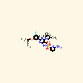 CC(C)COc1cc(F)cc(-c2ncc(C(=O)NS(=O)(=O)c3cccc(N)n3)c(N3C[C@@H](C)CC3(C)C)n2)c1